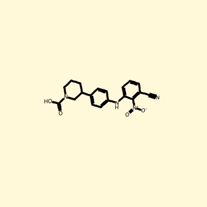 N#Cc1cccc(Nc2ccc(C3CCCN(C(=O)O)C3)cc2)c1[N+](=O)[O-]